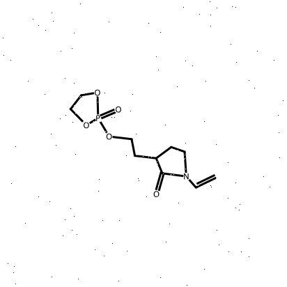 C=CN1CCC(CCOP2(=O)OCCO2)C1=O